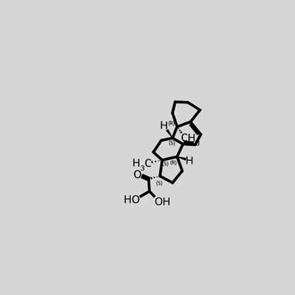 C[C@]12CC[C@H]3C(=CC=C4CCCC[C@@]43C)[C@@H]1CC[C@@H]2C(=O)C(O)O